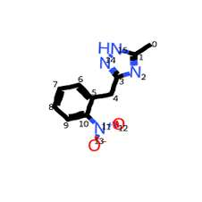 Cc1nc(Cc2ccccc2[N+](=O)[O-])n[nH]1